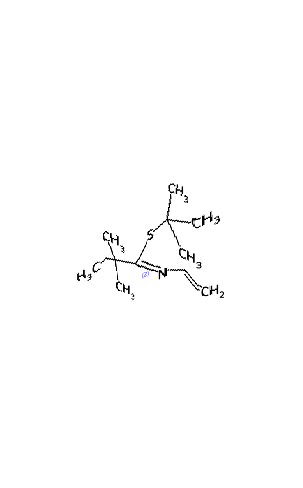 C=C/N=C(\SC(C)(C)C)C(C)(C)C